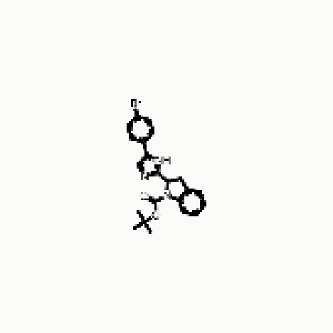 CC(C)(C)OC(=O)N1c2ccccc2CC1c1ncc(-c2ccc(Br)cc2)[nH]1